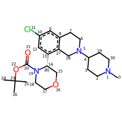 CN1CCC(N2CCc3cc(Cl)cc([C@@H]4COCCN4C(=O)OC(C)(C)C)c3C2)CC1